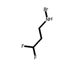 FC(F)CCNBr